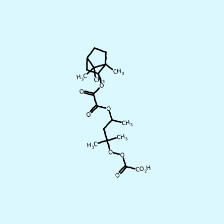 CC(CC(C)(C)OOC(=O)C(=O)O)OC(=O)C(=O)OC1CC2CCC1(C)C2(C)C